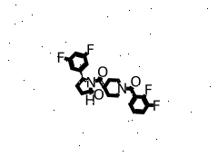 O=C(c1cccc(F)c1F)N1CCC2(CC1)O[C@@H]1CC[C@@H](c3cc(F)cc(F)c3)N1C2=O